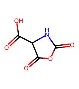 O=C1NC(C(=O)O)C(=O)O1